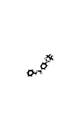 CC1(C)OB(C2=CC[C@@H](C(=O)OCc3ccccc3)CC2)OC1(C)C